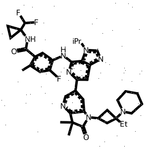 CCC1(N2CCCCC2)CC(N2C(=O)C(C)(C)c3ncc(-c4cc5ncn(C(C)C)c5c(Nc5cc(C(=O)NC6(C(F)F)CC6)c(C)cc5F)n4)cc32)C1